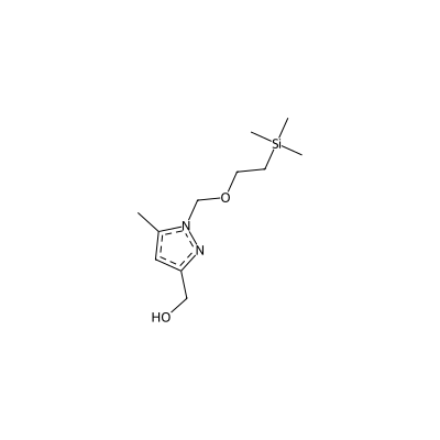 Cc1cc(CO)nn1COCC[Si](C)(C)C